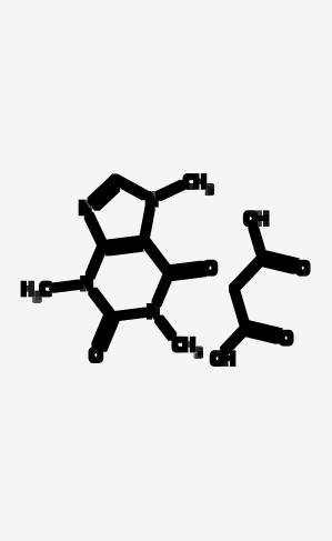 Cn1c(=O)c2c(ncn2C)n(C)c1=O.O=C(O)CC(=O)O